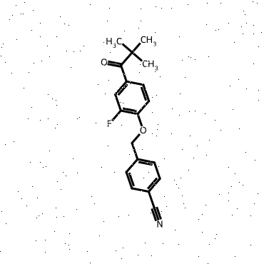 CC(C)(C)C(=O)c1ccc(OCc2ccc(C#N)cc2)c(F)c1